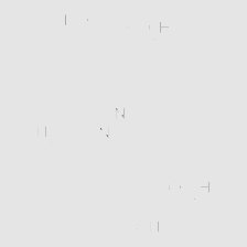 O=C(O)c1cc(N=Nc2ccc(O)c(C(=O)O)c2)ccc1O.[CaH2]